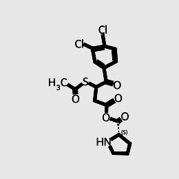 CC(=O)SC(CC(=O)OC(=O)[C@@H]1CCCN1)C(=O)c1ccc(Cl)c(Cl)c1